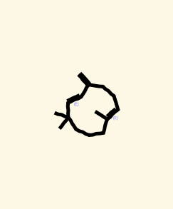 C=C1/C=C/C(C)(C)CCC/C(C)=C/CC1